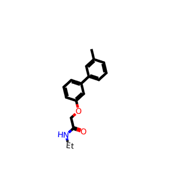 CCNC(=O)COc1cccc(-c2cccc(C)c2)c1